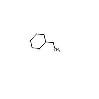 CCC1[C]CCCC1